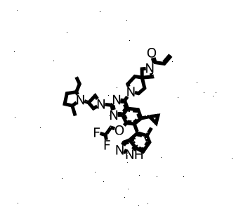 C=CC(=O)N1CC2(CCN(c3nc(N4CC(N5C(C)CCC5CC)C4)nc4c(OCC(F)F)c(-c5c(C)ccc6[nH]ncc56)c(C5CC5)cc34)CC2)C1